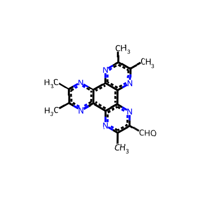 Cc1nc2c3nc(C)c(C)nc3c3nc(C=O)c(C)nc3c2nc1C